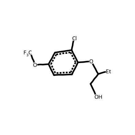 CCC(CO)Oc1ccc(OC(F)(F)F)cc1Cl